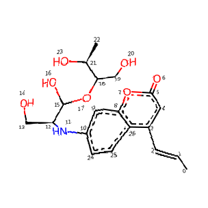 C/C=C/c1cc(=O)oc2cc(N[C@@H](CO)C(O)OC(CO)[C@H](C)O)ccc12